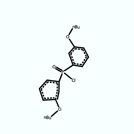 CCCCOc1cccc(P(=O)(Cl)c2cccc(OCCCC)c2)c1